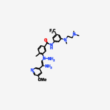 COc1cncc(/C(N)=C/N(N)c2cc(C(=O)Nc3cc(N(C)CCN(C)C)cc(C(F)(F)F)c3)ccc2C)c1